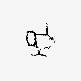 CC(C)[S+]([O-])c1ccccc1C(N)=O